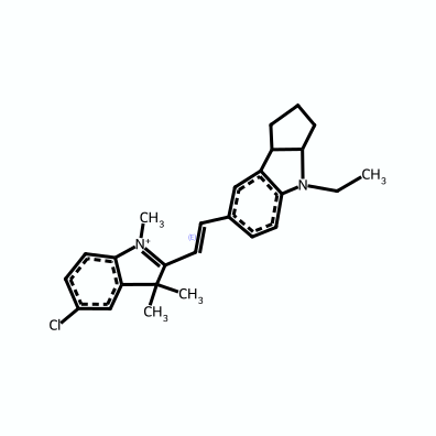 CCN1c2ccc(/C=C/C3=[N+](C)c4ccc(Cl)cc4C3(C)C)cc2C2CCCC21